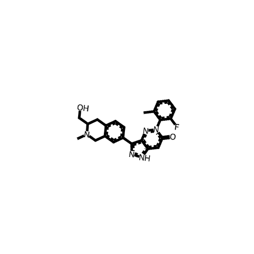 Cc1cccc(F)c1-n1nc2c(-c3ccc4c(c3)CN(C)C(CO)C4)n[nH]c2cc1=O